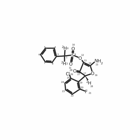 [2H]C([2H])(c1ccccc1)S(=O)(=O)OC1=C(N)O[C@]([2H])(c2c(F)cccc2Cl)C1=O